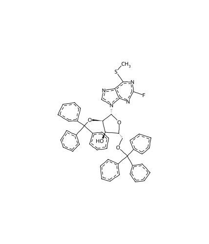 CSc1nc(F)nc2c1ncn2[C@@H]1O[C@H](COC(c2ccccc2)(c2ccccc2)c2ccccc2)[C@@H](O)[C@H]1OC(c1ccccc1)(c1ccccc1)c1ccccc1